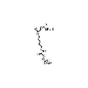 CCCCCC(CC)OOC(=O)NCCCCCCNC(=O)OOC(CC)CCCCC